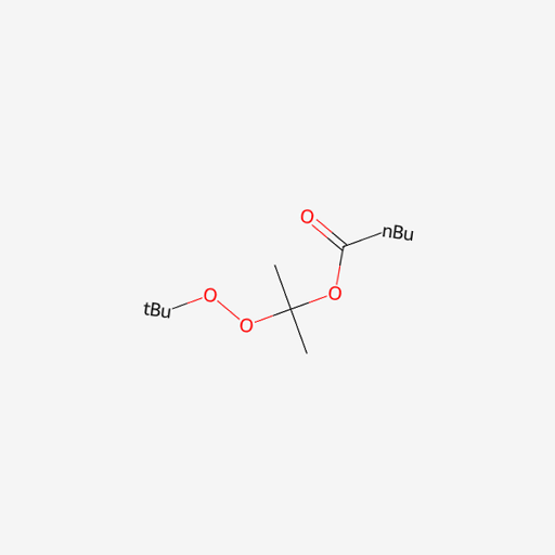 CCCCC(=O)OC(C)(C)OOC(C)(C)C